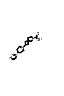 O=C(O)N1CCC2(CC(N3CCC(n4ccnn4)CC3)C2)C1